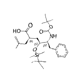 C=C(C)C[C@H](C[C@H](O[Si](C)(C)C(C)(C)C)[C@H](Cc1ccccc1)NC(=O)OC(C)(C)C)C(=O)O